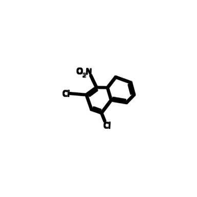 O=[N+]([O-])C1=C(Cl)C=C(Cl)C2=CC=CCC21